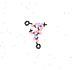 CC(C)(C)OC(=O)N[C@@H](CC(=O)OCc1ccccc1)C(=O)OC(=O)[C@H](CC(=O)OCc1ccccc1)NC(=O)OC(C)(C)C